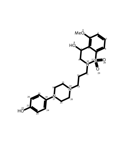 COc1cccc2c1C(O)CN(CCCN1CCN(c3ccc(O)cc3)CC1)S2(=O)=O